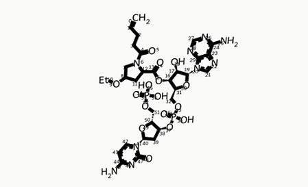 C=CCCC(=O)N1CC(OCC)CC1C(=O)O[C@H]1[C@@H](O)[C@H](n2cnc3c(N)ncnc32)O[C@H]1COP(=O)(O)O[C@H]1C[C@H](n2ccc(N)nc2=O)O[C@@H]1COP(=O)(O)O